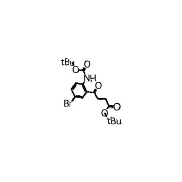 CC(C)(C)OC(=O)CCC(=O)c1cc(Br)ccc1NC(=O)OC(C)(C)C